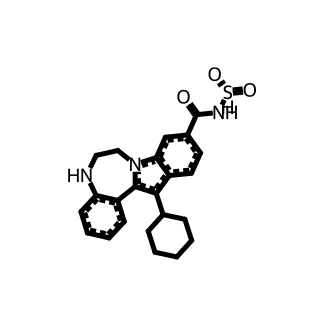 O=C(N[SH](=O)=O)c1ccc2c(C3CCCCC3)c3n(c2c1)CCNc1ccccc1-3